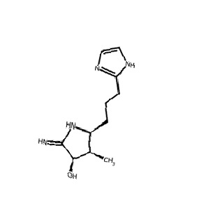 C[C@@H]1[C@H](CCCc2ncc[nH]2)NC(=N)[C@@H]1O